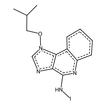 CC(C)COn1cnc2c(NI)nc3ccccc3c21